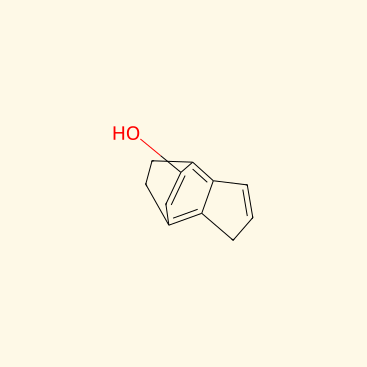 Oc1cc2c3c(c1CC2)C=CC3